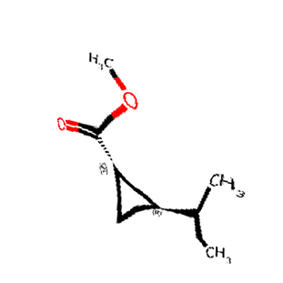 COC(=O)[C@H]1C[C@@H]1C(C)C